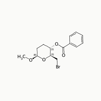 CO[C@H]1CC[C@H](OC(=O)c2ccccc2)[C@@H](CBr)O1